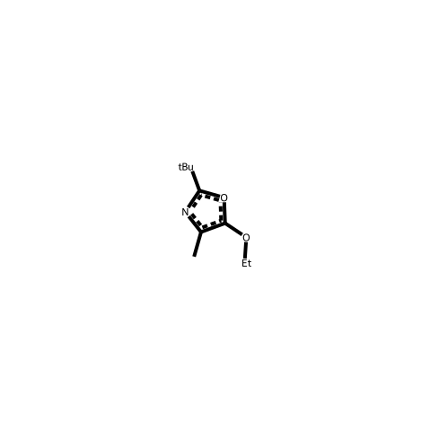 CCOc1oc(C(C)(C)C)nc1C